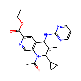 CCOC(=O)c1cc2c(cn1)N(C(C)=O)C(C1CC1)[C@H](C)C2Nc1ncccn1